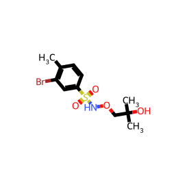 Cc1ccc(S(=O)(=O)NOCC(C)(C)O)cc1Br